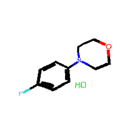 Cl.Fc1ccc(N2CCOCC2)cc1